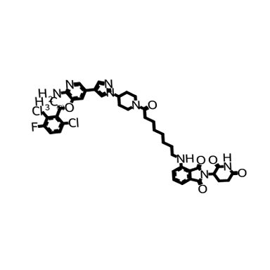 C[C@@H](Oc1cc(-c2cnn(C3CCN(C(=O)CCCCCCCNc4cccc5c4C(=O)N(C4CCC(=O)NC4=O)C5=O)CC3)c2)cnc1N)c1c(Cl)ccc(F)c1Cl